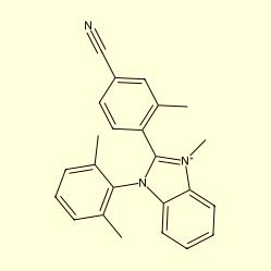 Cc1cc(C#N)ccc1-c1n(-c2c(C)cccc2C)c2ccccc2[n+]1C